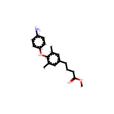 COC(=O)CCCc1cc(C)c(Oc2ccc(N)cc2)c(C)c1